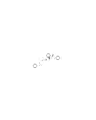 O=C(Nc1ccc(F)cc1)c1cccc(C(=O)NC2CCN(Cc3ccccc3)CC2)c1F